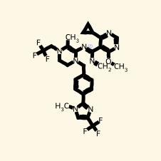 C=N/C(=N\C1=C(C)N(CC(F)(F)F)CCN1Cc1ccc(-c2nc(C(F)(F)F)cn2C)cc1)c1c(OC)ncnc1C1CC1